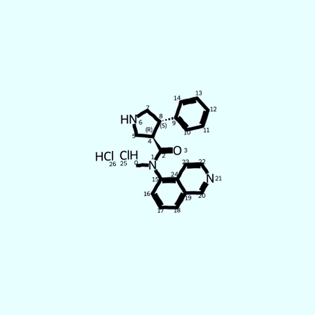 CN(C(=O)[C@H]1CNC[C@@H]1c1ccccc1)c1cccc2cnccc12.Cl.Cl